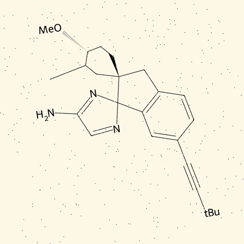 CO[C@@H]1CC[C@]2(Cc3ccc(C#CC(C)(C)C)cc3C23N=CC(N)=N3)CC1C